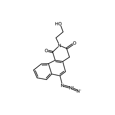 [N-]=[N+]=Nc1cc2c(c3ccccc13)C(=O)N(CCO)C(=O)C2